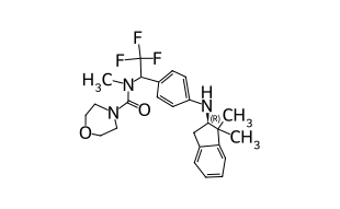 CN(C(=O)N1CCOCC1)C(c1ccc(N[C@@H]2Cc3ccccc3C2(C)C)cc1)C(F)(F)F